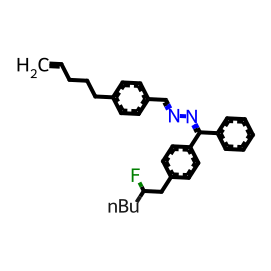 C=CCCCc1ccc(C=NN=C(c2ccccc2)c2ccc(CC(F)CCCC)cc2)cc1